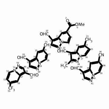 COC(=O)c1ccn2ncc(C=O)c2c1.Cc1ccn2nc(C)c(C=O)c2c1.Cc1ccn2ncc(C=O)c2c1.N#Cc1ccn2ncc(C=O)c2c1.O=Cc1cnn2ccc(C(F)(F)F)cc12